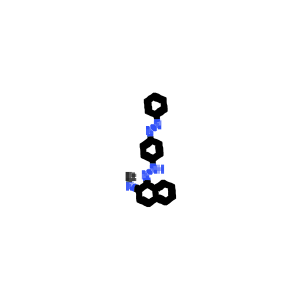 CC/N=C1/C=Cc2ccccc2/C1=N\Nc1ccc(/N=N/c2ccccc2)cc1